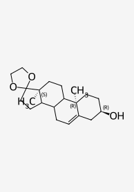 C[C@]12CC[C@@H](O)CC1=CCC1C2CC[C@@]2(C)C1CCC21OCCO1